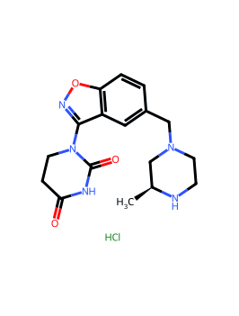 C[C@H]1CN(Cc2ccc3onc(N4CCC(=O)NC4=O)c3c2)CCN1.Cl